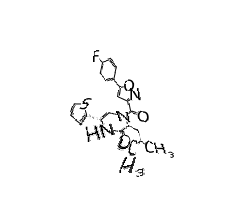 CC(C)C[C@H]1C(=O)N[C@H](c2cccs2)CN1C(=O)c1cc(-c2ccc(F)cc2)on1